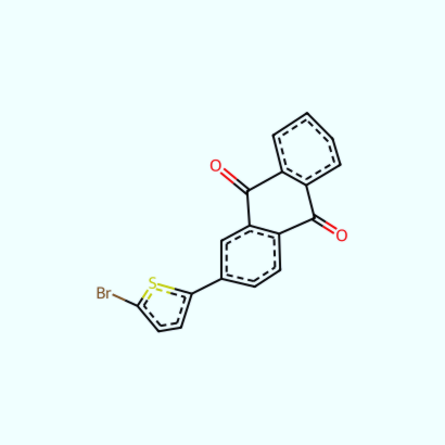 O=C1c2ccccc2C(=O)c2cc(-c3ccc(Br)s3)ccc21